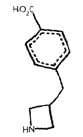 O=C(O)c1ccc(CC2CNC2)cc1